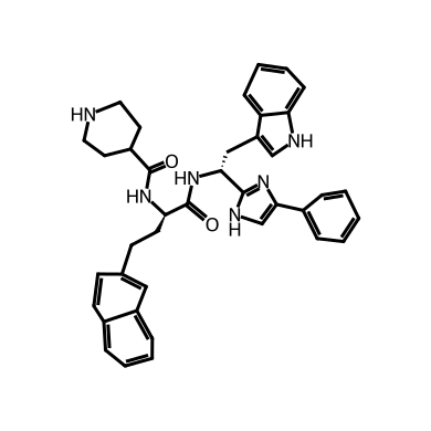 O=C(N[C@H](CCc1ccc2ccccc2c1)C(=O)N[C@H](Cc1c[nH]c2ccccc12)c1nc(-c2ccccc2)c[nH]1)C1CCNCC1